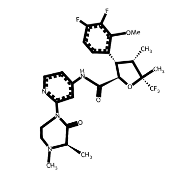 COc1c([C@H]2[C@H](C(=O)Nc3ccnc(N4CCN(C)[C@H](C)C4=O)c3)O[C@@](C)(C(F)(F)F)[C@H]2C)ccc(F)c1F